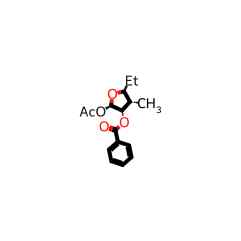 CC[C@@H]1O[C@H](OC(C)=O)[C@@H](OC(=O)c2ccccc2)[C@H]1C